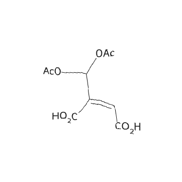 CC(=O)OC(OC(C)=O)C(=CC(=O)O)C(=O)O